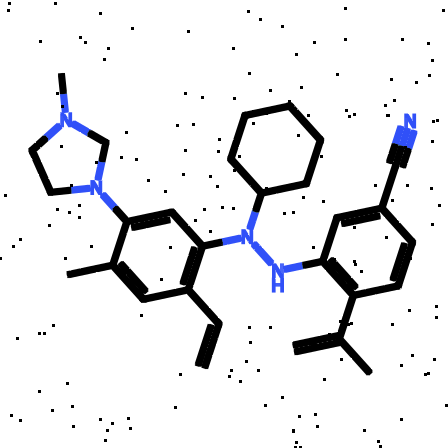 C=Cc1cc(C)c(N2CCN(C)C2)cc1N(Nc1cc(C#N)ccc1C(=C)C)C1CCCCC1